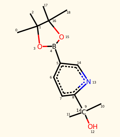 CC1(C)OB(c2ccc([14C](C)(C)O)nc2)OC1(C)C